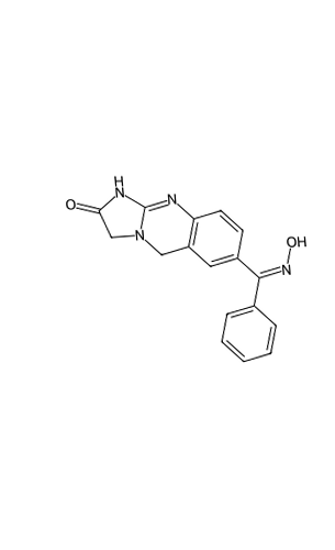 O=C1CN2Cc3cc(/C(=N\O)c4ccccc4)ccc3N=C2N1